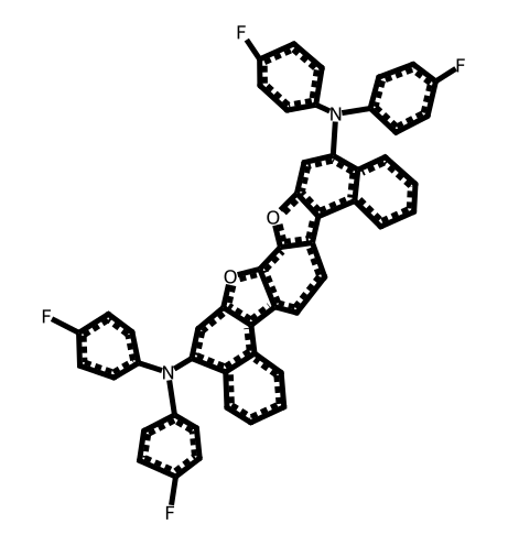 Fc1ccc(N(c2ccc(F)cc2)c2cc3oc4c(ccc5c4oc4cc(N(c6ccc(F)cc6)c6ccc(F)cc6)c6ccccc6c45)c3c3ccccc23)cc1